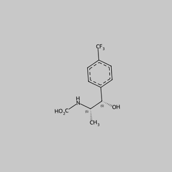 C[C@H](NC(=O)O)[C@@H](O)c1ccc(C(F)(F)F)cc1